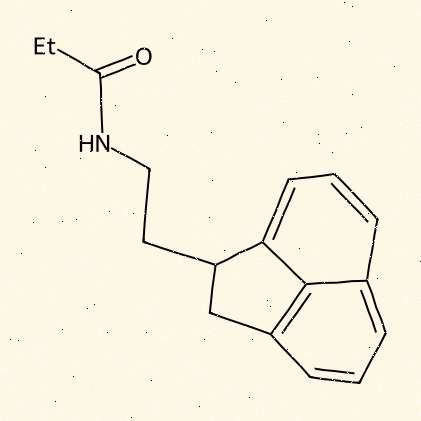 CCC(=O)NCCC1Cc2cccc3cccc1c23